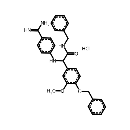 COc1cc(C(Nc2ccc(C(=N)N)cc2)C(=O)NCc2ccccc2)ccc1OCc1ccccc1.Cl